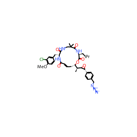 COc1ccc(C[C@H]2NC(=O)/C=C/C[C@@H]([C@H](C)[C@H]3O[C@@H]3c3ccc(CN=[N+]=[N-])cc3)OC(=O)[C@H](CC(C)C)NC(=O)C(C)(C)CNC2=O)cc1Cl